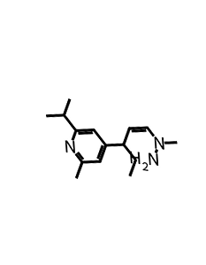 CCC(/C=C\N(C)N)c1cc(C)nc(C(C)C)c1